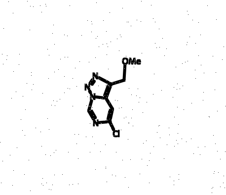 COCc1nnn2cnc(Cl)cc12